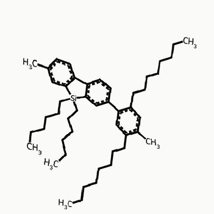 CCCCCCCCc1cc(-c2ccc3c(c2)[Si](CCCCCC)(CCCCCC)c2cc(C)ccc2-3)c(CCCCCCCC)cc1C